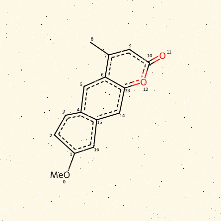 COc1ccc2cc3c(C)cc(=O)oc3cc2c1